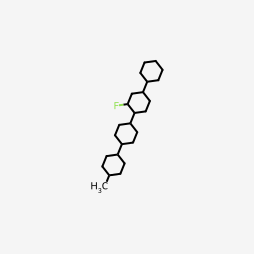 CC1CCC(C2CCC(C3CCC(C4CCCCC4)CC3F)CC2)CC1